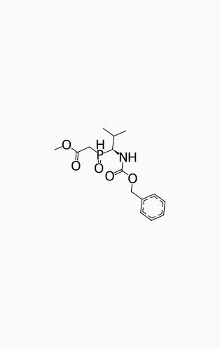 COC(=O)C[PH](=O)[C@H](NC(=O)OCc1ccccc1)C(C)C